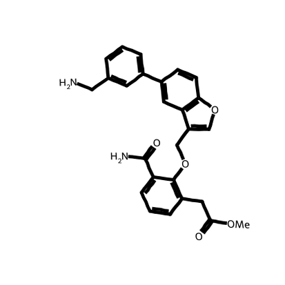 COC(=O)Cc1cccc(C(N)=O)c1OCc1coc2ccc(-c3cccc(CN)c3)cc12